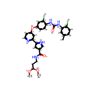 CCOC(CCNC(=O)c1c[nH]c(-c2cc(Oc3ccc(NC(=O)Nc4cc(C)ccc4F)c(F)c3)ccn2)c1)OCC